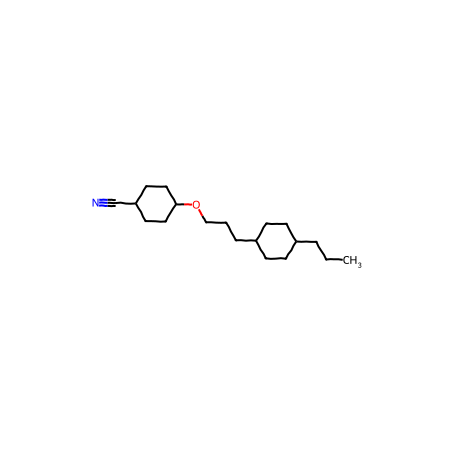 CCCC1CCC(CCCOC2CCC(C#N)CC2)CC1